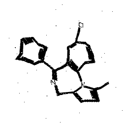 Cc1ccc2n1-c1ccc(Cl)cc1C(c1ccccc1)=NC2